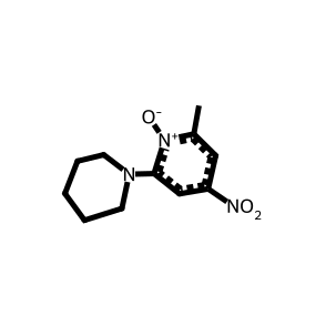 Cc1cc([N+](=O)[O-])cc(N2CCCCC2)[n+]1[O-]